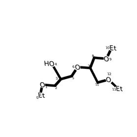 CCOCC(O)COC(COCC)COCC